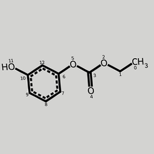 CCOC(=O)Oc1cccc(O)c1